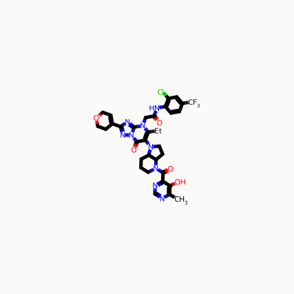 CCc1c(N2CCC3C2CCCN3C(=O)c2ncnc(C)c2O)c(=O)n2nc(C3=CCOCC3)nc2n1CC(=O)Nc1ccc(C(F)(F)F)cc1Cl